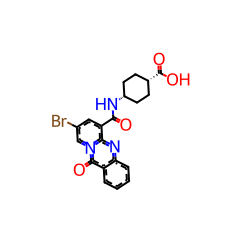 O=C(N[C@H]1CC[C@@H](C(=O)O)CC1)c1cc(Br)cn2c(=O)c3ccccc3nc12